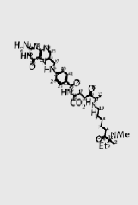 CCC(C)(NC)C(=O)CCCCCNC(C)C(=O)CCC(NC(=O)c1ccc(NCc2cnc3nc(N)[nH]c(=O)c3n2)cc1)C(=O)O